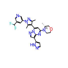 Cc1nn(-c2cncc(C(F)F)c2)c(C)c1-c1cc(N2CCOC[C@H]2C)nc2c(-c3ccn[nH]3)cnn12